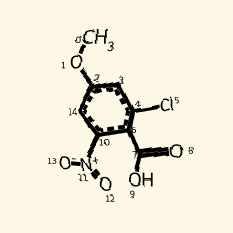 COc1cc(Cl)c(C(=O)O)c([N+](=O)[O-])c1